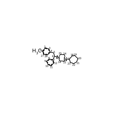 Cc1ccc(CC(c2ccccc2)N2CCN(C3CCCCCC3)CC2)cc1